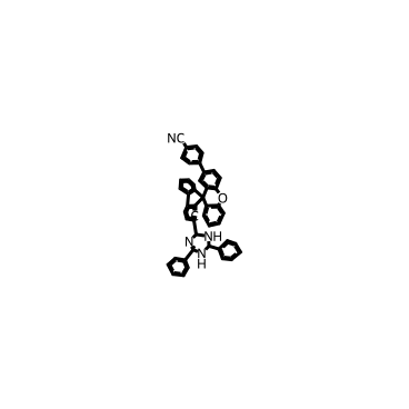 N#Cc1ccc(-c2ccc3c(c2)C2(c4ccccc4O3)c3ccccc3-c3ccc(C4N=C(c5ccccc5)NC(c5ccccc5)N4)cc32)cc1